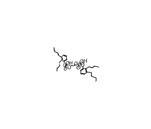 CCCCc1cccc(OP(=O)(O)OCCOP(=O)(O)Oc2cccc(CCCC)c2CCCC)c1CCCC